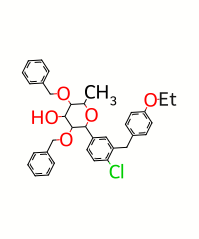 CCOc1ccc(Cc2cc(C3OC(C)C(OCc4ccccc4)C(O)C3OCc3ccccc3)ccc2Cl)cc1